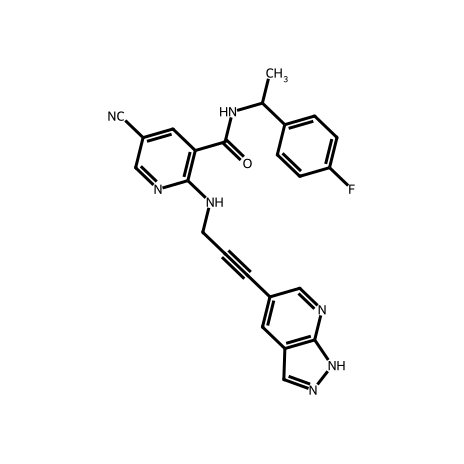 CC(NC(=O)c1cc(C#N)cnc1NCC#Cc1cnc2[nH]ncc2c1)c1ccc(F)cc1